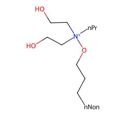 CCCCCCCCCCCCO[N+](CCC)(CCO)CCO